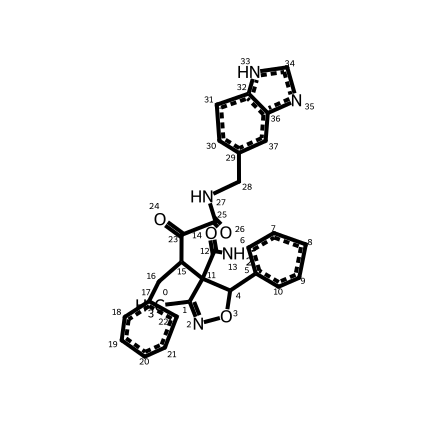 CC1=NOC(c2ccccc2)C1(C(N)=O)C(Cc1ccccc1)C(=O)C(=O)NCc1ccc2[nH]cnc2c1